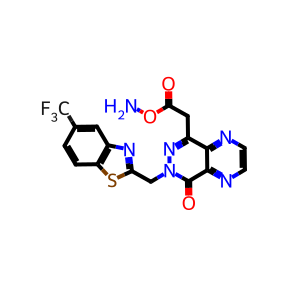 NOC(=O)Cc1nn(Cc2nc3cc(C(F)(F)F)ccc3s2)c(=O)c2nccnc12